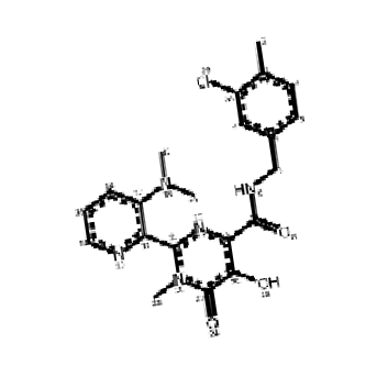 Cc1ccc(CNC(=O)c2nc(-c3ncccc3N(C)C)n(C)c(=O)c2O)cc1Cl